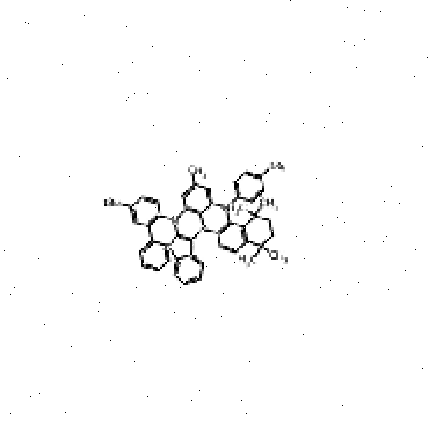 Cc1cc2c3c(c1)N(c1ccc(C(C)(C)C)cc1)c1c(ccc4c1C(C)(C)CCC4(C)C)B3c1c(sc3ccccc13)N2c1ccc(C(C)(C)C)cc1-c1ccccc1